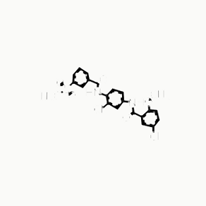 COc1ccc(Cl)cc1C(=O)Nc1ccc(NC(=O)c2cccc(S(C)(=O)=O)c2)c(Cl)c1